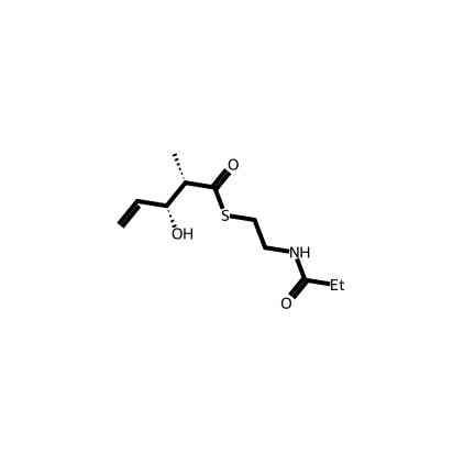 C=C[C@@H](O)[C@H](C)C(=O)SCCNC(=O)CC